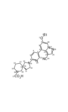 CCOc1cc(-c2ccc(N3CC[C@@]4(CCCN(C(=O)O)C4)C3)nc2)c2c(C#N)cnn2c1